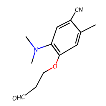 Cc1cc(OCCC=O)c(N(C)C)cc1C#N